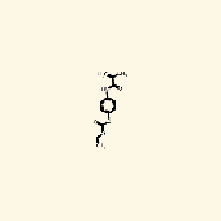 C=COC(=O)Oc1ccc(NC(=O)C(=C)C)cc1